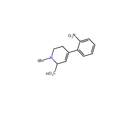 CC(C)(C)N1CCC(c2ccccc2[N+](=O)[O-])=CC1C(=O)O